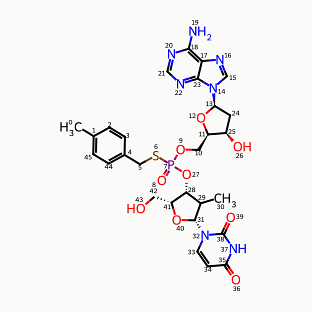 Cc1ccc(CSP(=O)(OC[C@H]2O[C@@H](n3cnc4c(N)ncnc43)C[C@H]2O)O[C@@H]2C(C)[C@H](n3ccc(=O)[nH]c3=O)O[C@@H]2CO)cc1